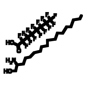 CCCCCCCCCCCCCCCCC(N)CO.O=C(O)C(F)(F)C(F)(F)C(F)(F)C(F)(F)C(F)(F)C(F)(F)C(F)(F)F